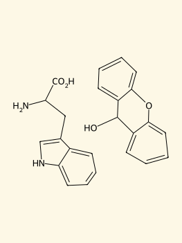 NC(Cc1c[nH]c2ccccc12)C(=O)O.OC1c2ccccc2Oc2ccccc21